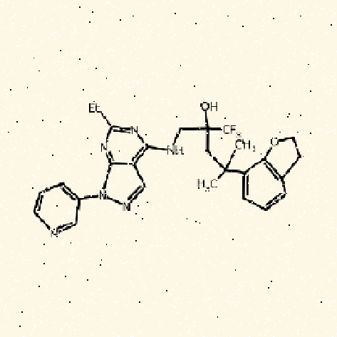 CCc1nc(NCC(O)(CC(C)(C)c2cccc3c2OCC3)C(F)(F)F)c2cnn(-c3cccnc3)c2n1